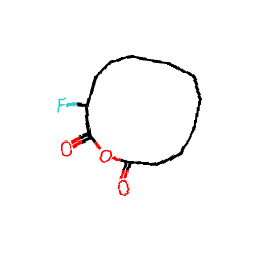 O=C1CCCCCCCCCC(F)C(=O)O1